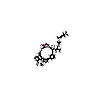 CO[C@@H](C)c1ncccc1-c1c2c3cc(ccc3n1CC(F)(F)F)-c1cccc(c1)C[C@H](NC(=O)[C@@H](COC1CN(C(=O)C#CC(C)(C)N(C)C)C1)C(C)C)C(=O)N1CCC[C@](C=O)(COCC(C)(C)C2)N1